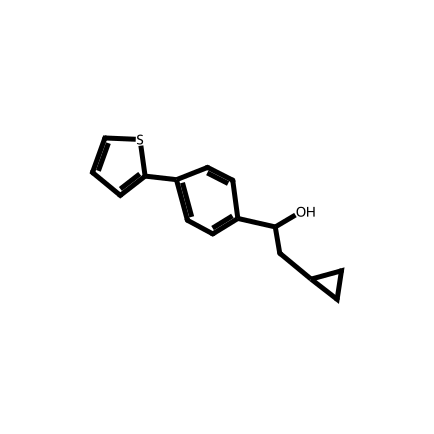 OC(CC1CC1)c1ccc(-c2cccs2)cc1